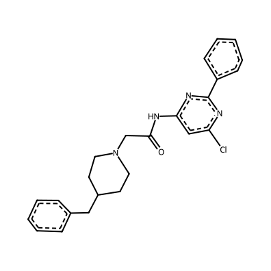 O=C(CN1CCC(Cc2ccccc2)CC1)Nc1cc(Cl)nc(-c2ccccc2)n1